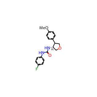 COc1ccc(C2COC[C@@H]2NC(=O)Nc2ccc(F)cc2)cc1